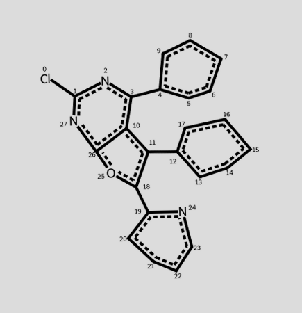 Clc1nc(-c2ccccc2)c2c(-c3ccccc3)c(-c3ccccn3)oc2n1